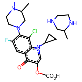 CC1CN(c2c(F)cc3c(=O)c(OC(=O)O)cn(C4CC4)c3c2Cl)CCN1.CC1CNCCN1